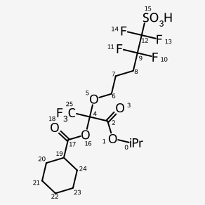 CC(C)OC(=O)C(OCCCC(F)(F)C(F)(F)S(=O)(=O)O)(OC(=O)C1CCCCC1)C(F)(F)F